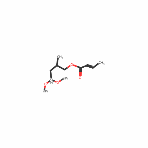 CC=CC(=O)OCC(C)C[SiH](OCCC)OCCC